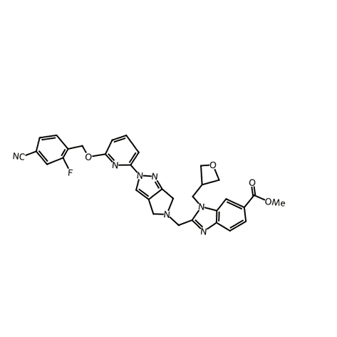 COC(=O)c1ccc2nc(CN3Cc4cn(-c5cccc(OCc6ccc(C#N)cc6F)n5)nc4C3)n(CC3COC3)c2c1